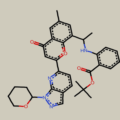 Cc1cc(C(C)Nc2ccccc2C(=O)OC(C)(C)C)c2oc(-c3ccc4cnn(C5CCCCO5)c4n3)cc(=O)c2c1